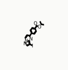 CC(C)OC(=O)c1ccc(-c2ccn3ncc(I)c3n2)cc1